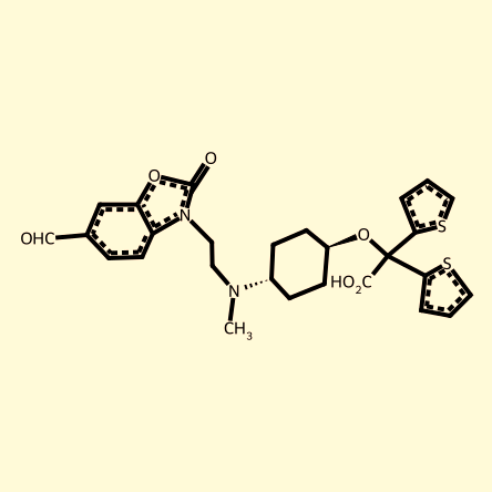 CN(CCn1c(=O)oc2cc(C=O)ccc21)[C@H]1CC[C@H](OC(C(=O)O)(c2cccs2)c2cccs2)CC1